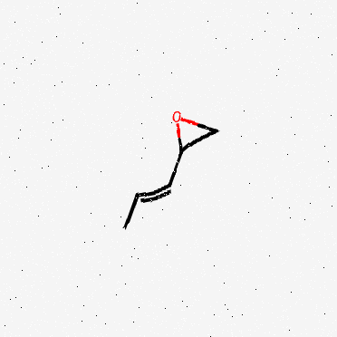 CC=CC1CO1